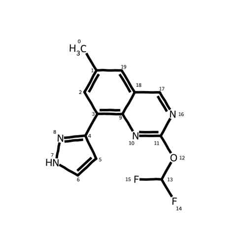 Cc1cc(-c2cc[nH]n2)c2nc(OC(F)F)ncc2c1